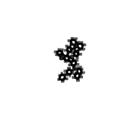 c1ccc(-c2ccc(N(c3ccc4oc5c(-c6ccc7c(c6)C6(c8ccccc8-c8ccccc86)c6ccccc6-7)c6c(cc5c4c3)oc3ccccc36)c3cccc4ccccc34)cc2)cc1